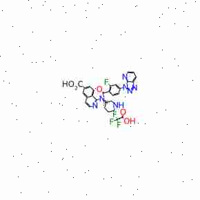 O=C(O)C(F)(F)F.O=C(O)c1ccc2c(N(C(=O)c3ccc(-n4nnc5cccnc54)cc3F)[C@@H]3CCCNC3)nccc2c1